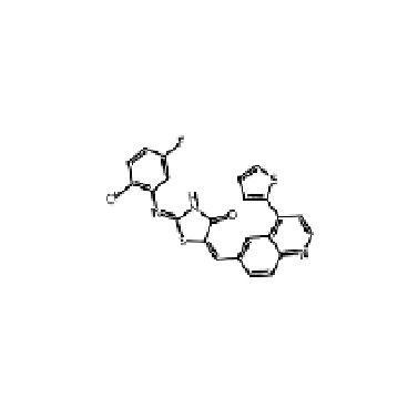 O=C1NC(=Nc2cc(F)ccc2Cl)SC1=Cc1ccc2nccc(-c3cccs3)c2c1